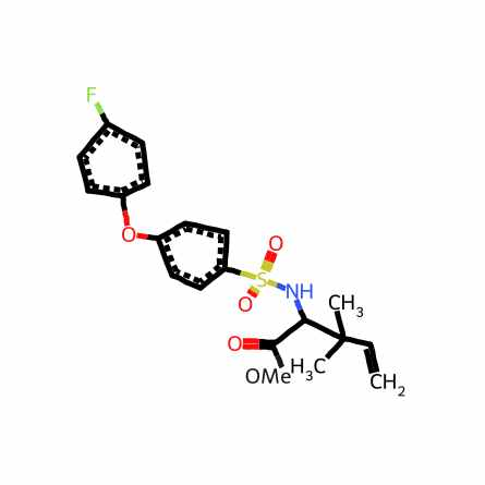 C=CC(C)(C)C(NS(=O)(=O)c1ccc(Oc2ccc(F)cc2)cc1)C(=O)OC